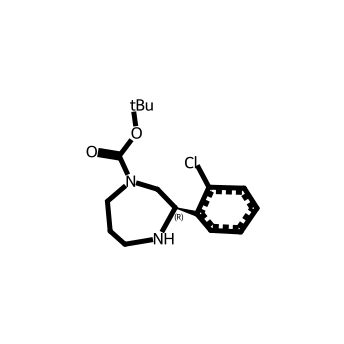 CC(C)(C)OC(=O)N1CCCN[C@H](c2ccccc2Cl)C1